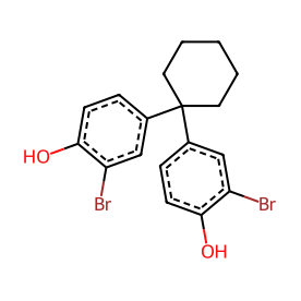 Oc1ccc(C2(c3ccc(O)c(Br)c3)CCCCC2)cc1Br